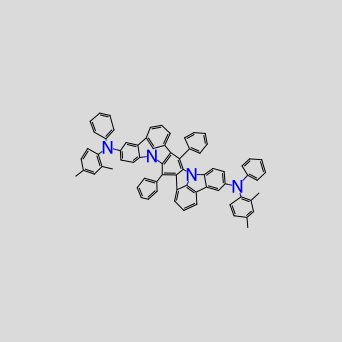 Cc1ccc(N(c2ccccc2)c2ccc3c(c2)c2cccc4c5c(-c6ccccc6)c6c(c(-c7ccccc7)c5n3c24)c2cccc3c4cc(N(c5ccccc5)c5ccc(C)cc5C)ccc4n6c32)c(C)c1